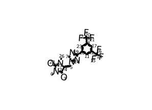 CN1C(=O)C(=Cn2cnc(-c3cc(C(F)(F)F)cc(C(F)(F)F)c3)n2)N(C)C1=O